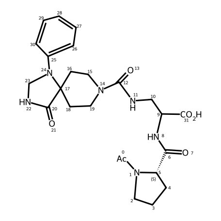 CC(=O)N1CCC[C@H]1C(=O)NC(CNC(=O)N1CCC2(CC1)C(=O)NCN2c1ccccc1)C(=O)O